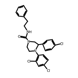 O=C(NCCc1ccccc1)N1CCN(c2ccc(Cl)cc2Cl)C(c2ccc(Cl)cc2)C1